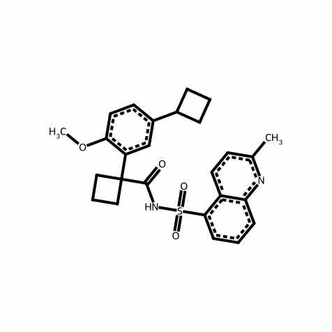 COc1ccc(C2CCC2)cc1C1(C(=O)NS(=O)(=O)c2cccc3nc(C)ccc23)CCC1